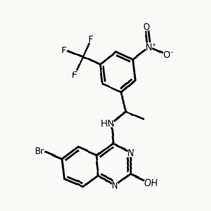 CC(Nc1nc(O)nc2ccc(Br)cc12)c1cc([N+](=O)[O-])cc(C(F)(F)F)c1